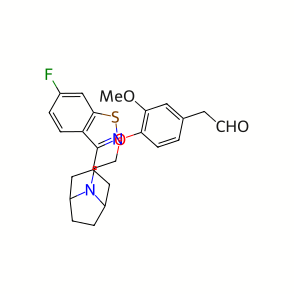 COc1cc(CC=O)ccc1OCCN1C2CCC1CC(c1nsc3cc(F)ccc13)C2